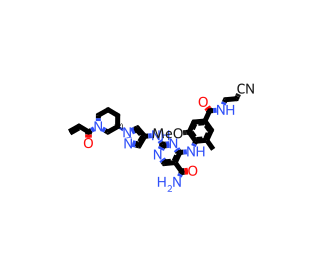 C=CC(=O)N1CCC[C@@H](n2cc(Nc3ncc(C(N)=O)c(Nc4c(C)cc(C(=O)NCCC#N)cc4OC)n3)cn2)C1